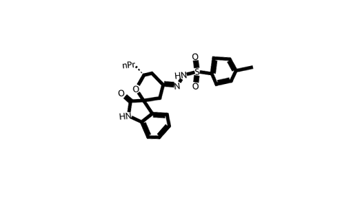 CCC[C@@H]1CC(=NNS(=O)(=O)c2ccc(C)cc2)CC2(O1)C(=O)Nc1ccccc12